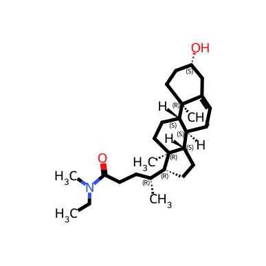 CCN(C)C(=O)CC[C@@H](C)[C@H]1CC[C@H]2[C@@H]3CC=C4C[C@@H](O)CC[C@]4(C)[C@H]3CC[C@]12C